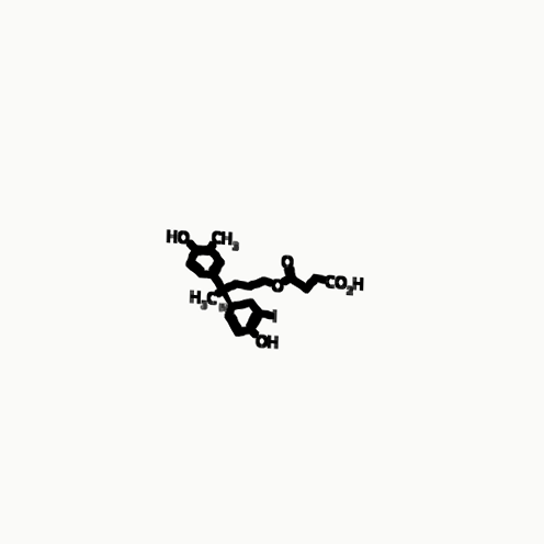 Cc1cc(C(C)(CCCOC(=O)CCC(=O)O)[C@@H]2C=CC(O)=C(I)C2)ccc1O